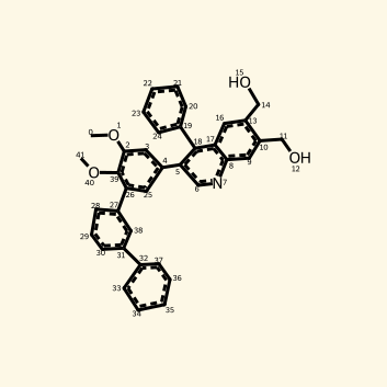 COc1cc(-c2cnc3cc(CO)c(CO)cc3c2-c2ccccc2)cc(-c2cccc(-c3ccccc3)c2)c1OC